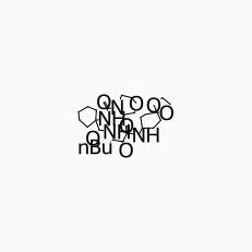 CCCC[C@H](NC(=O)C1(NC(=O)N2CCOCC2)CCCCC1)C(=O)C(=O)NC1CCC2(CC1)OCCO2